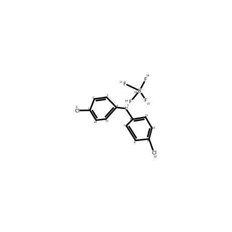 Clc1ccc([I+]c2ccc(Cl)cc2)cc1.F[B-](F)(F)F